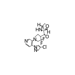 O=C(C1N[C@@H]2CO[C@H]1C2)C1CCN(c2cnccc2-n2cc(Cl)cn2)CC1(F)F